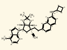 C#C[C@]1(CCc2ccc3ccc(NC4CCC4)nc3c2)C[C@@H](n2ccc3c(N)ncnc32)[C@@H]2OC(C)(C)O[C@@H]21